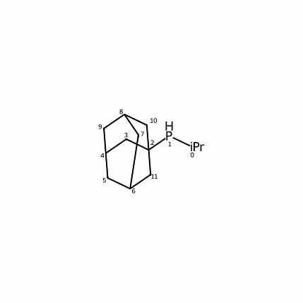 CC(C)PC12CC3CC(CC(C3)C1)C2